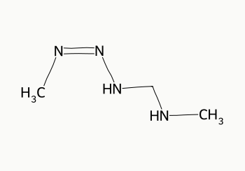 C/N=N\NCNC